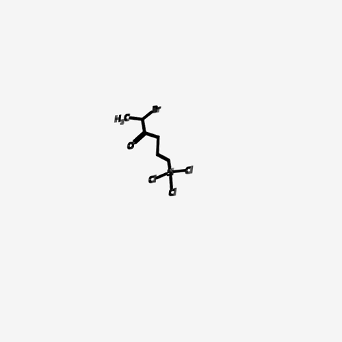 CC(Br)C(=O)CCC[Si](Cl)(Cl)Cl